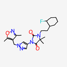 Cc1noc(C)c1Cn1cc(N2C(=O)N(CCC3CCCCC3F)C(C)(C)C2=O)cn1